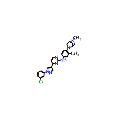 Cc1cc(Nc2nccc(-c3cnn(-c4cccc(Cl)c4)c3)n2)ccc1N1CC2CC1CN2C